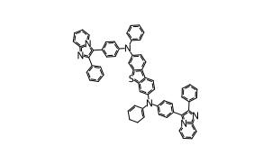 C1=CC(N(c2ccc(-c3c(-c4ccccc4)nc4ccccn34)cc2)c2ccc3c(c2)sc2cc(N(c4ccccc4)c4ccc(-c5c(-c6ccccc6)nc6ccccn56)cc4)ccc23)=CCC1